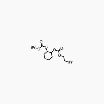 CC(C)CCOC(=O)OC1CCCCC1OC(=O)OC(C)C